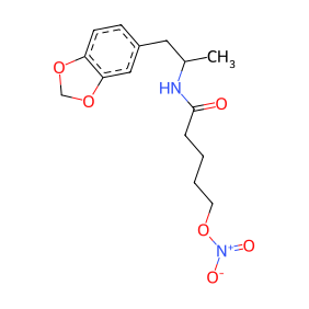 CC(Cc1ccc2c(c1)OCO2)NC(=O)CCCCO[N+](=O)[O-]